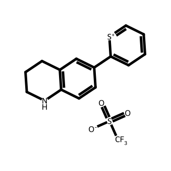 O=S(=O)([O-])C(F)(F)F.c1ccc(-c2ccc3c(c2)CCCN3)[s+]c1